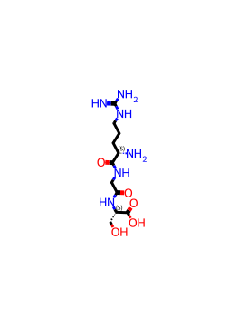 N=C(N)NCCC[C@H](N)C(=O)NCC(=O)N[C@@H](CO)C(=O)O